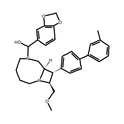 COC[C@@H]1[C@@H](c2ccc(-c3cccc(C)c3)cc2)[C@@H]2CN(C(O)c3ccc4c(c3)OCO4)CCCCN12